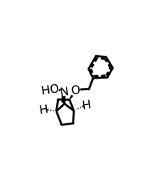 O/N=C1\[C@H]2CC[C@@H]1[C@H](OCc1ccccc1)C2